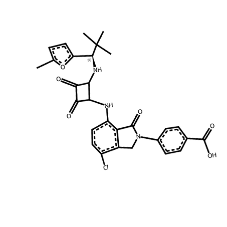 Cc1ccc([C@H](NC2C(=O)C(=O)C2Nc2ccc(Cl)c3c2C(=O)N(c2ccc(C(=O)O)cc2)C3)C(C)(C)C)o1